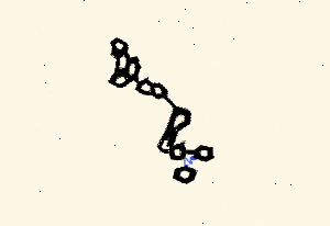 c1ccc(-n2c3ccccc3c3cc4c(ccc5cc(-c6ccc7cc(-c8ccc9c%10c(cccc8%10)-c8ccccc8-9)ccc7c6)ccc54)cc32)cc1